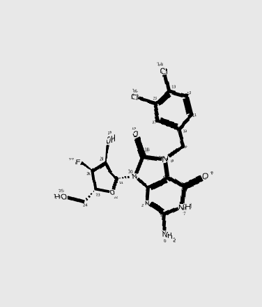 Nc1nc2c(c(=O)[nH]1)n(Cc1ccc(Cl)c(Cl)c1)c(=O)n2[C@@H]1O[C@H](CO)[C@@H](F)[C@H]1O